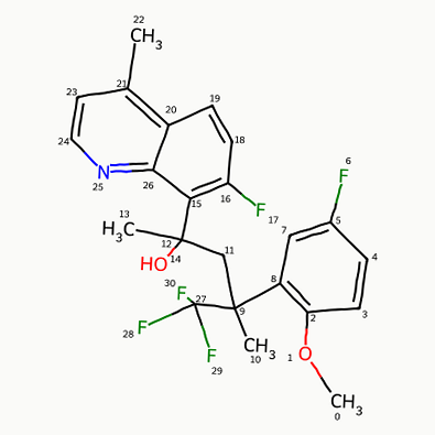 COc1ccc(F)cc1C(C)(CC(C)(O)c1c(F)ccc2c(C)ccnc12)C(F)(F)F